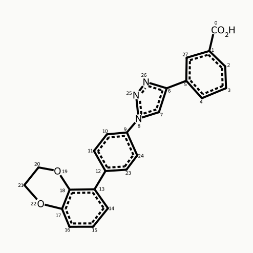 O=C(O)c1cccc(-c2cn(-c3ccc(-c4cccc5c4OCCO5)cc3)nn2)c1